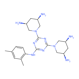 Cc1ccc(Nc2nc(N3C[C@H](N)C[C@H](N)C3)nc(N3C[C@H](N)C[C@H](N)C3)n2)c(C)c1